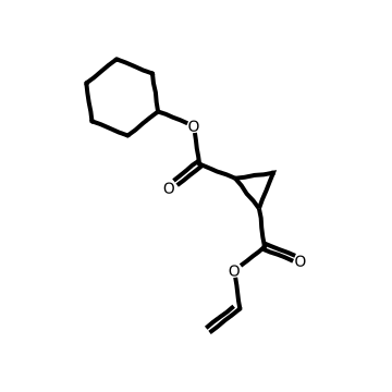 C=COC(=O)C1CC1C(=O)OC1CCCCC1